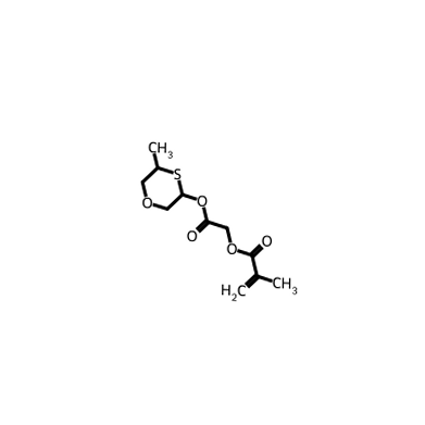 C=C(C)C(=O)OCC(=O)OC1COCC(C)S1